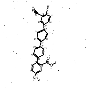 COC(=O)c1cc(N)ccc1-c1ccc(-c2ccc(-c3ccc(F)c(C#N)c3)cc2)cc1